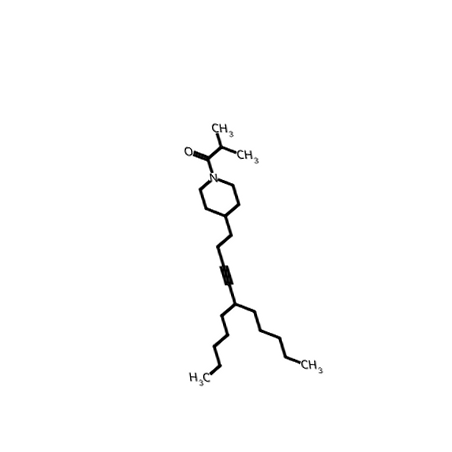 CCCCCC(C#CCCC1CCN(C(=O)C(C)C)CC1)CCCCC